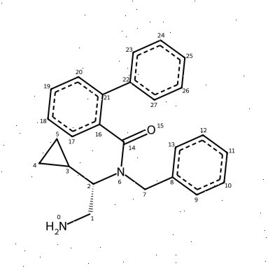 NC[C@H](C1CC1)N(Cc1ccccc1)C(=O)c1ccccc1-c1ccccc1